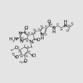 COc1cc(CN2C(=O)/C(=C\c3cc(C(=O)NCCNC(C)C)c[nH]3)c3c(Cl)nc(N)nc32)c(Cl)c(OC)c1OC